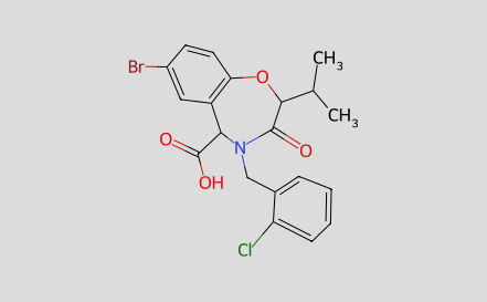 CC(C)C1Oc2ccc(Br)cc2C(C(=O)O)N(Cc2ccccc2Cl)C1=O